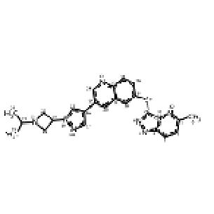 Cc1ccc2nnc(Sc3ccc4ncc(-c5cnn(C6CN(C(C)C)C6)c5)cc4c3)n2n1